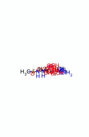 C/C=C/C(=O)SCCNC(=O)CCNC(=O)C(O)C(C)(C)COP(=O)(O)OP(=O)(O)OCC1OC(C)(n2cnc3c(N)ncnc32)C(O)C1OP(=O)(O)O